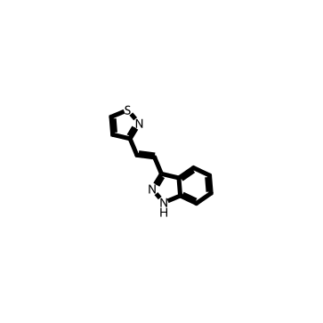 C(=Cc1n[nH]c2ccccc12)c1ccsn1